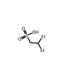 CCC(CC)CS(=O)(=O)O